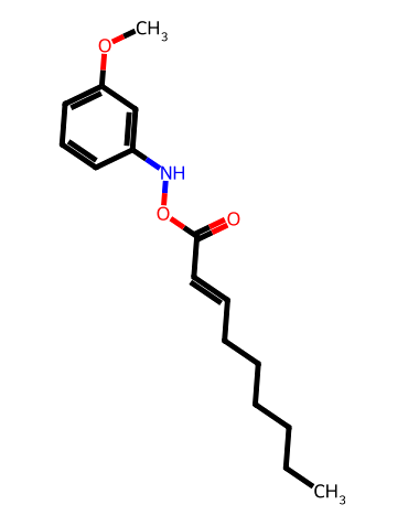 CCCCCCC=CC(=O)ONc1cccc(OC)c1